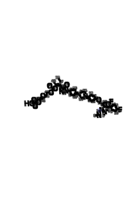 C=N/C=N\N(C)C[C@]1(c2ccc(F)cc2F)C[C@H](COc2ccc(N3CCN(c4ccc(-n5cnn([C@@H](CC)[C@H](C)OC(=O)OCCOCCOP(=O)(O)O)c5=O)cc4)CC3)cc2)CO1